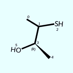 CC(S)[C@@H](C)O